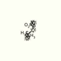 CC(C)(C#Cc1cccc(COc2cccnc2[N+](=O)[O-])c1)OC1CCCCO1